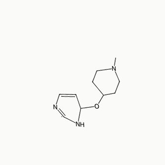 CN1CCC(OC2C=CN=[C]N2)CC1